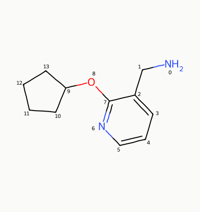 NCc1cccnc1OC1CCCC1